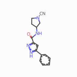 N#CN1CCC(NC(=O)c2cc(-c3ccccc3)[nH]n2)C1